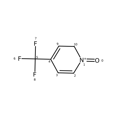 O=[N+]1C=CC(C(F)(F)F)=CC1